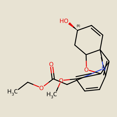 CCOC(=O)CN1CCC23C=C[C@H](O)CC2Oc2c(OC)ccc(c23)C1